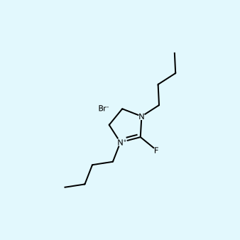 CCCCN1CC[N+](CCCC)=C1F.[Br-]